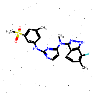 Cc1cc(Nc2nccc(N(C)c3n[nH]c4c(F)c(C)ccc34)n2)cc(S(C)(=O)=O)c1